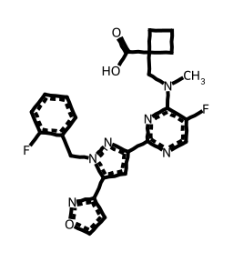 CN(CC1(C(=O)O)CCC1)c1nc(-c2cc(-c3ccon3)n(Cc3ccccc3F)n2)ncc1F